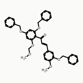 COCOc1cc(OCc2ccccc2)cc(OCc2ccccc2)c1C(=O)C=Cc1ccc(OC)c(OCc2ccccc2)c1